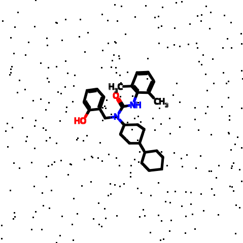 Cc1cccc(C)c1NC(=O)N(Cc1ccccc1O)C1CCC(C2CCCCC2)CC1